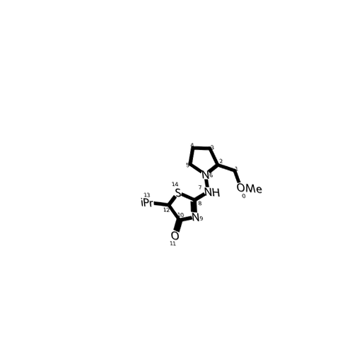 COCC1CCCN1NC1=NC(=O)C(C(C)C)S1